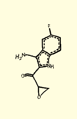 Nc1c(C(=O)C2CO2)[nH]c2ccc(F)cc12